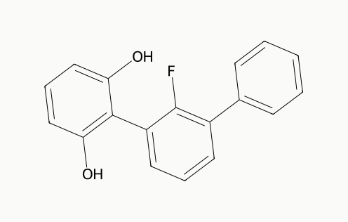 Oc1cccc(O)c1-c1cccc(-c2ccccc2)c1F